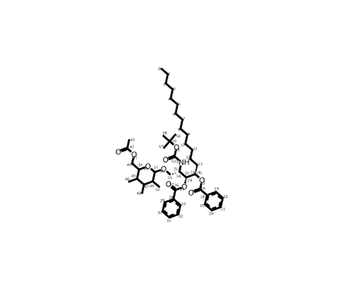 CCCCCCCCCCCCCC[C@@H](OC(=O)c1ccccc1)[C@@H](OC(=O)c1ccccc1)[C@H](COC1OC(COC(C)=O)C(C)C(C)C1C)NC(=O)OC(C)(C)C